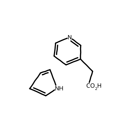 O=C(O)Cc1cccnc1.c1cc[nH]c1